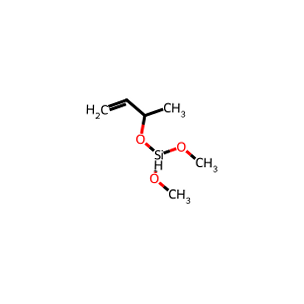 C=CC(C)O[SiH](OC)OC